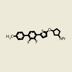 CCCC1CCC(Oc2ccc(-c3ccc(-c4ccc(C)cc4)c(F)c3F)s2)C1